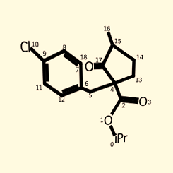 CC(C)OC(=O)C1(Cc2ccc(Cl)cc2)CCC(C)C1=O